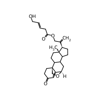 C=C(COC(=O)CC=CCO)[C@H]1CCC2C3C[C@H]4OC[C@@]5(CCC(=O)C=C45)C3CC[C@@]21C